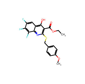 CCOC(=O)c1c(SCc2ccc(OC)cc2)nc2c(F)c(F)c(F)cc2c1O